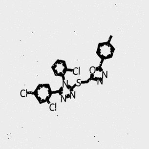 Cc1ccc(-c2nnc(CSc3nnc(-c4ccc(Cl)cc4Cl)n3-c3ccccc3Cl)o2)cc1